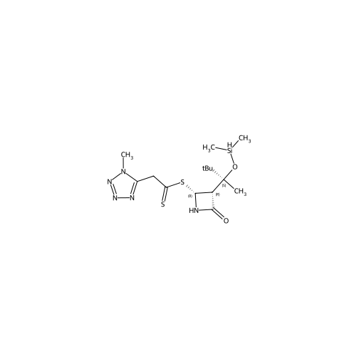 Cn1nnnc1CC(=S)S[C@H]1NC(=O)[C@H]1[C@](C)(O[SiH](C)C)C(C)(C)C